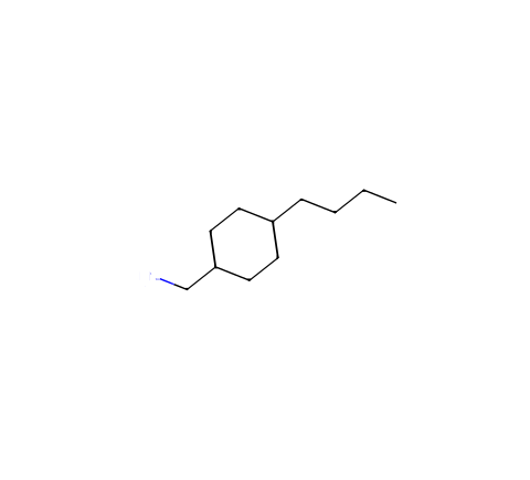 CCCCC1CCC(CN)CC1